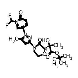 Cc1cc(N2CCO[C@H](C(C)(O)C(=O)OC(C)(C)C)C2=O)nn1-c1ccc(=O)n(C(F)F)c1